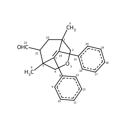 CC12COCC(C)(C(c3ccccc3)=C1c1ccccc1)C(C=O)C2